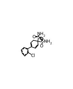 NS(=O)(=O)C1(S(N)(=O)=O)C=CC(c2ccccc2Cl)=CC1